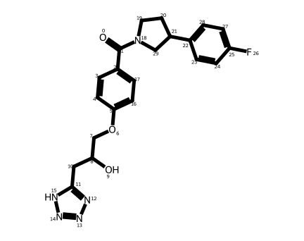 O=C(c1ccc(OCC(O)Cc2nnn[nH]2)cc1)N1CCC(c2ccc(F)cc2)C1